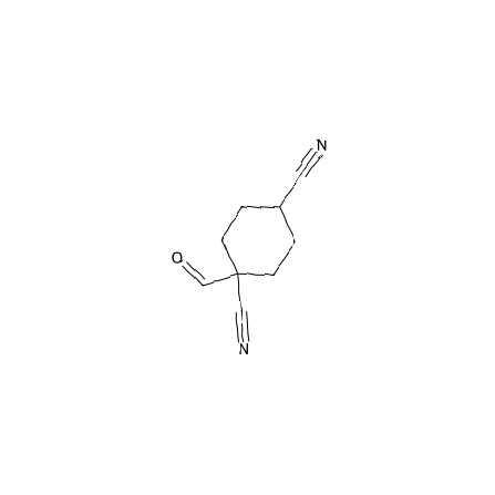 N#CC1CCC(C#N)(C=O)CC1